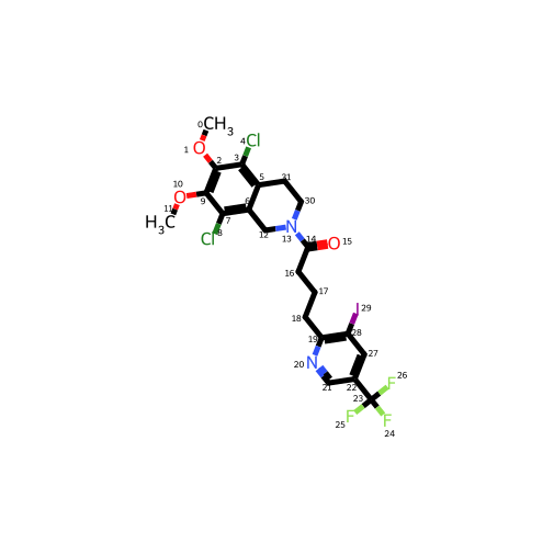 COc1c(Cl)c2c(c(Cl)c1OC)CN(C(=O)CCCc1ncc(C(F)(F)F)cc1I)CC2